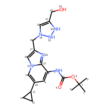 CC(C)(C)OC(=O)Nc1cc(C2CC2)cn2cc(CN3C=C(CO)NN3)nc12